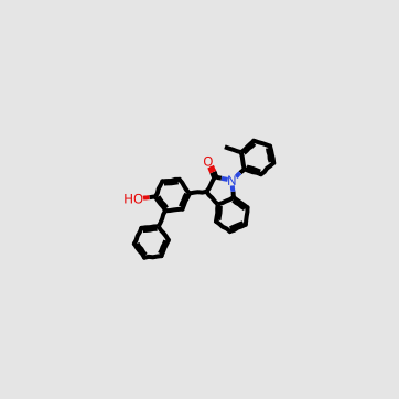 Cc1ccccc1N1C(=O)C(c2ccc(O)c(-c3ccccc3)c2)c2ccccc21